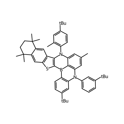 Cc1cc2c3c(c1)N(c1ccc(C(C)(C)C)cc1C)c1c(sc4cc5c(cc14)C(C)(C)CCC5(C)C)B3c1ccc(C(C)(C)C)cc1N2c1cccc(C(C)(C)C)c1